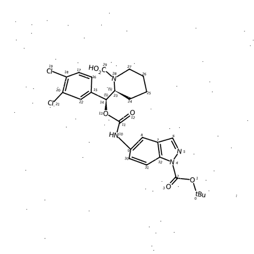 CC(C)(C)OC(=O)n1ncc2cc(NC(=O)O[C@@H](c3ccc(Cl)c(Cl)c3)[C@@H]3CCCCN3C(=O)O)ccc21